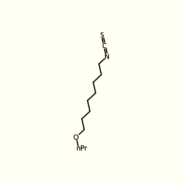 CCCOCCCCCCCCN=C=S